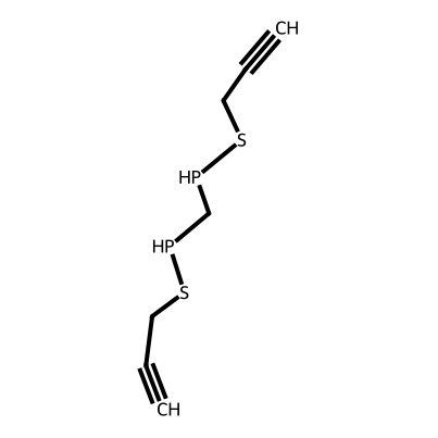 C#CCSPCPSCC#C